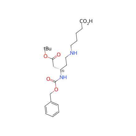 CC(C)(C)OC(=O)C[C@H](CCNCCCCC(=O)O)NC(=O)OCc1ccccc1